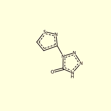 O=c1[nH]nnn1-c1ccsn1